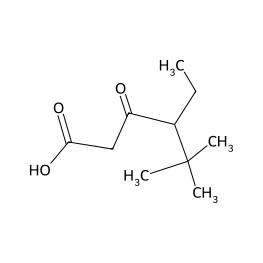 CCC(C(=O)CC(=O)O)C(C)(C)C